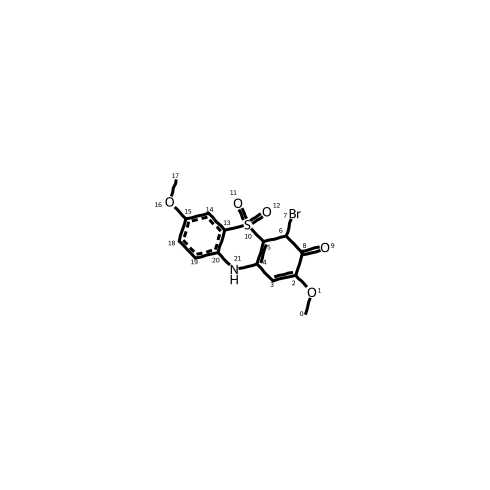 COC1=CC2=C(C(Br)C1=O)S(=O)(=O)c1cc(OC)ccc1N2